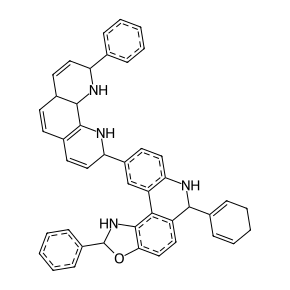 C1=CC(C2Nc3ccc(C4C=CC5=C(N4)C4NC(c6ccccc6)C=CC4C=C5)cc3-c3c2ccc2c3NC(c3ccccc3)O2)=CCC1